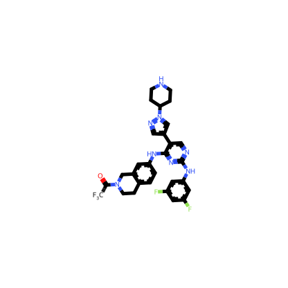 O=C(N1CCc2ccc(Nc3nc(Nc4cc(F)cc(F)c4)ncc3-c3cnn(C4CCNCC4)c3)cc2C1)C(F)(F)F